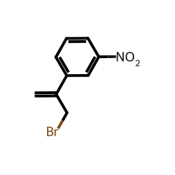 C=C(CBr)c1cccc([N+](=O)[O-])c1